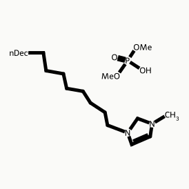 CCCCCCCCCCCCCCCCCCN1C=CN(C)C1.COP(=O)(O)OC